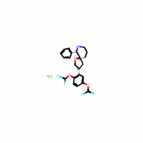 Cl.FC(F)Oc1ccc(OC(F)F)c([C@@H]2CO[C@]3(CCCN[C@H]3c3ccccc3)C2)c1